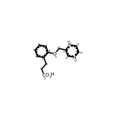 O=C(O)CCc1ccccc1OCc1cnccn1